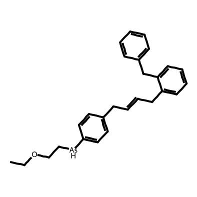 CCOCC[AsH]c1ccc(CC=CCc2ccccc2Cc2ccccc2)cc1